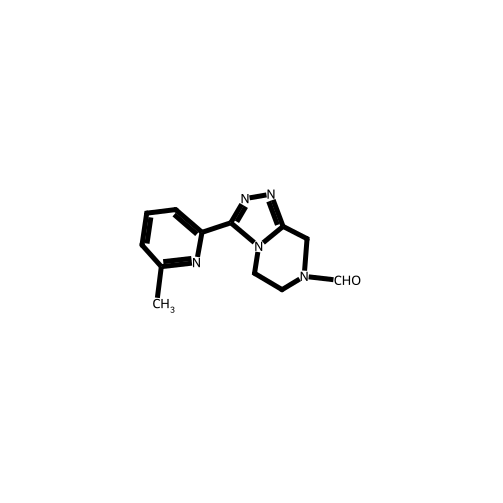 Cc1cccc(-c2nnc3n2CCN(C=O)C3)n1